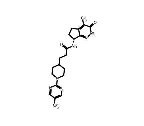 O=C(CCC1CCN(c2ncc(C(F)(F)F)cn2)CC1)N[C@@H]1CCc2c1n[nH]c(=O)c2C(F)(F)F